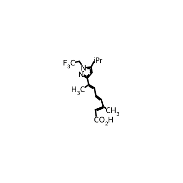 CC(C=CC=C(C)c1cc(C(C)C)n(CC(F)(F)F)n1)=CC(=O)O